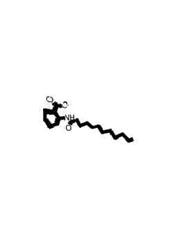 CCCCCCCCCCCC(=O)Nc1ccccc1C([O])=O